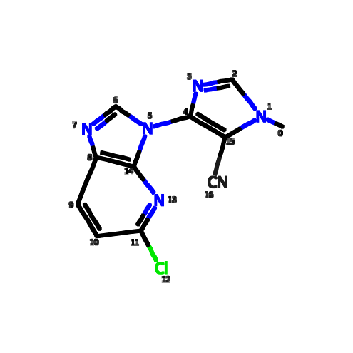 Cn1cnc(-n2cnc3ccc(Cl)nc32)c1C#N